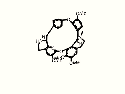 COc1ccc2cc1Oc1ccc(cc1)C[C@@H]1NCCc3cc(OC)c(cc31)Oc1c(OC)c(OC)cc3c1[C@H](C2)N(C)CC3